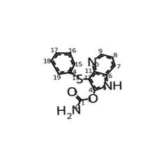 NC(=O)Oc1[nH]c2cccnc2c1Sc1ccccc1